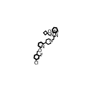 COC1(Cn2c(CN3CCC(c4cccc(OCc5ccc(Cl)cc5F)n4)CC3)nc3ccccc32)CCC1